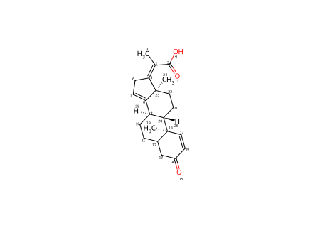 CC(C(=O)O)=C1CC=C2[C@@H]3CCC4CC(=O)C=C[C@]4(C)[C@H]3CC[C@@]21C